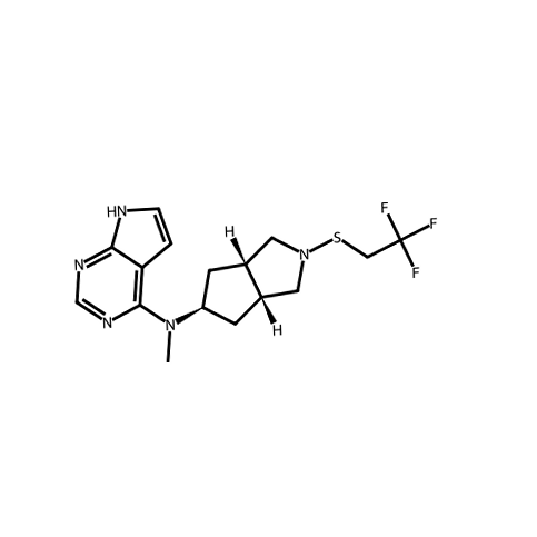 CN(c1ncnc2[nH]ccc12)[C@H]1C[C@@H]2CN(SCC(F)(F)F)C[C@@H]2C1